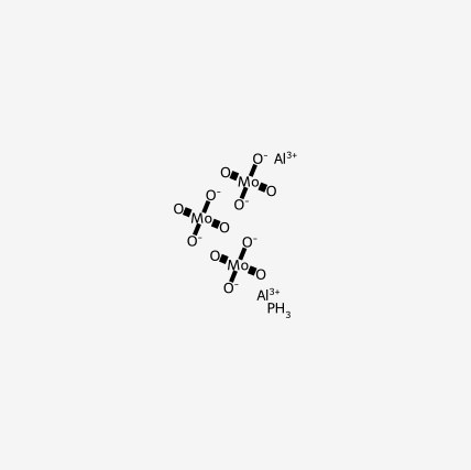 P.[Al+3].[Al+3].[O]=[Mo](=[O])([O-])[O-].[O]=[Mo](=[O])([O-])[O-].[O]=[Mo](=[O])([O-])[O-]